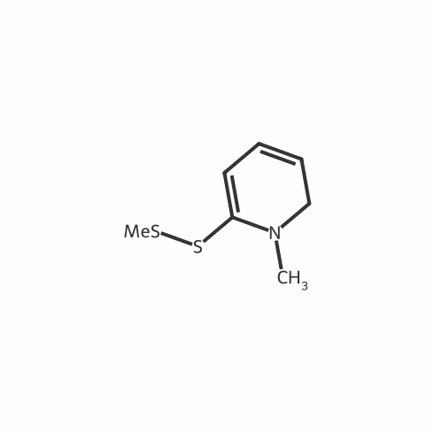 CSSC1=CC=CCN1C